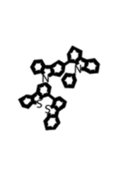 c1ccc(-n2c3ccccc3c3cccc(-c4ccc5c(c4)c4ccccc4n5-c4cc(-c5cccc6c5sc5ccccc56)c5sc6ccccc6c5c4)c32)cc1